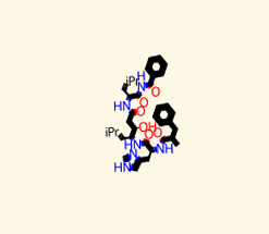 CC(C)C[C@H](NC(=O)C[C@H](O)[C@H](CC(C)C)NC(=O)[C@H](Cc1c[nH]cn1)NC(=O)C(C)Cc1ccccc1)C(=O)NC(=O)c1ccccc1